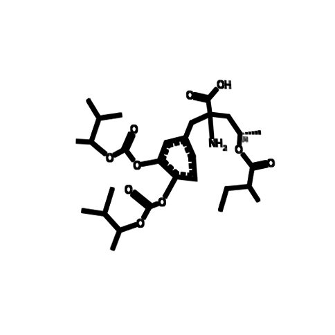 CCC(C)C(=O)O[C@@H](C)CC(N)(Cc1ccc(OC(=O)OC(C)C(C)C)c(OC(=O)OC(C)C(C)C)c1)C(=O)O